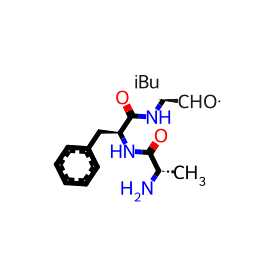 CC[C@H](C)[C@@H]([C]=O)NC(=O)[C@H](Cc1ccccc1)NC(=O)[C@H](C)N